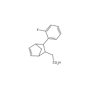 O=C(O)CC1C2C=CC(C2)C1c1ccccc1F